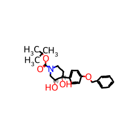 CC(C)(C)OC(=O)N1CC[C@@](O)(c2ccc(OCc3ccccc3)cc2)[C@H](O)C1